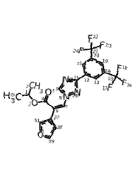 CC(C)OC(=O)C(=Cn1cnc(-c2cc(C(F)(F)F)cc(C(F)(F)F)c2)n1)c1ccoc1